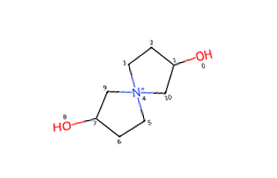 OC1CC[N+]2(CCC(O)C2)C1